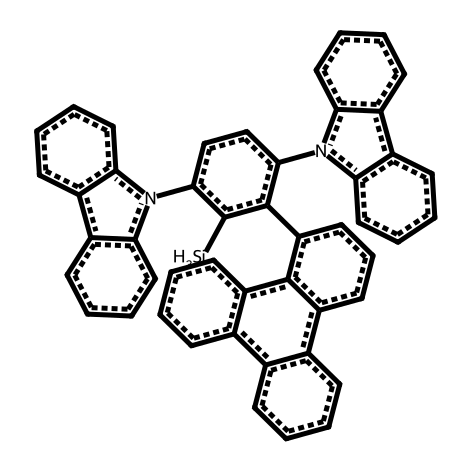 [SiH3]c1c(-n2c3ccccc3c3ccccc32)ccc(-n2c3ccccc3c3ccccc32)c1-c1cccc2c3ccccc3c3ccccc3c12